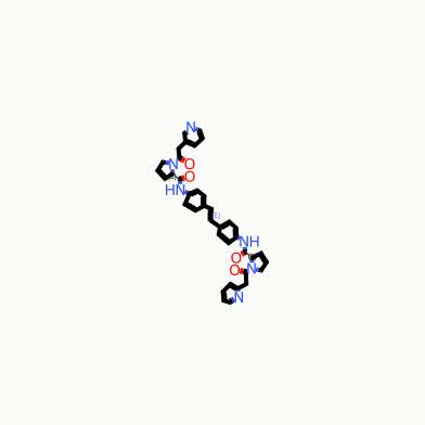 O=C(Nc1ccc(/C=C/c2ccc(NC(=O)[C@@H]3C=CCN3C(=O)Cc3ccccn3)cc2)cc1)[C@@H]1C=CCN1C(=O)Cc1cccnc1